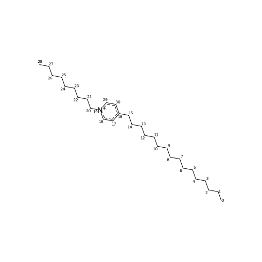 CCCCCCCCCCCCCCCCc1cc[n+](CCCCCCCCC)cc1